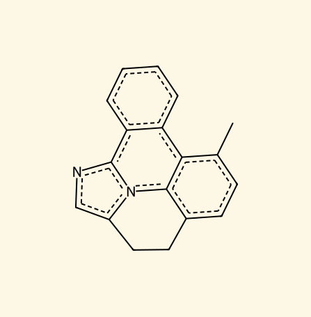 Cc1ccc2c3c1c1ccccc1c1ncc(n13)CC2